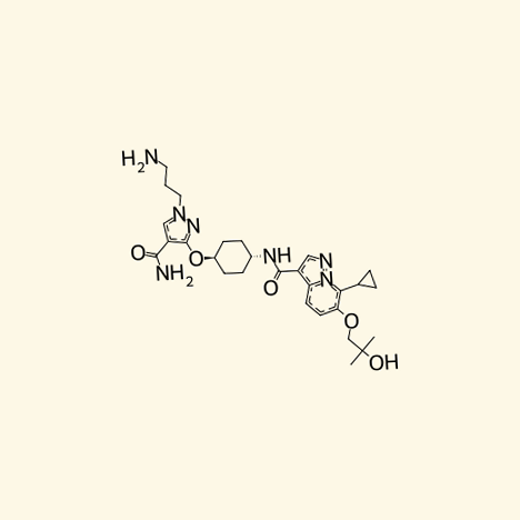 CC(C)(O)COc1ccc2c(C(=O)N[C@H]3CC[C@H](Oc4nn(CCCN)cc4C(N)=O)CC3)cnn2c1C1CC1